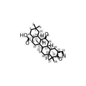 CC1(C)CC[C@]2(C(=O)O)CC[C@]3(C)[C@H](C(=O)C[C@@H]4[C@@]5(C)Cc6cnoc6C(C)(C)[C@@H]5CC[C@]43C)[C@@H]2C1